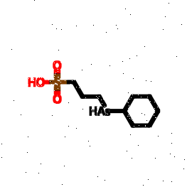 O=S(=O)(O)CCC[AsH]C1CCCCC1